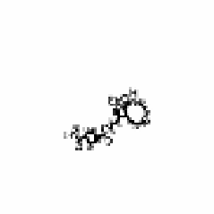 CCn1nc(CCCOC(=O)c2ccc(C(=O)N(C)C)cc2)c2c1C(=O)NCCCOCCC2